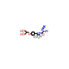 CC(C)[C@H](N=[N+]=[N-])C(=O)NC(CCc1ccc(OCC(CO)CO)cc1)C(=O)O